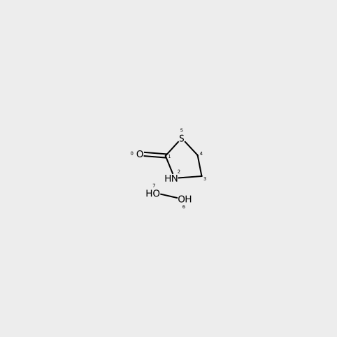 O=C1NCCS1.OO